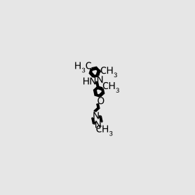 Cc1cc(C)c2nc(-c3ccc(OCCCN4CCN(C)CC4)cc3C)[nH]c2c1